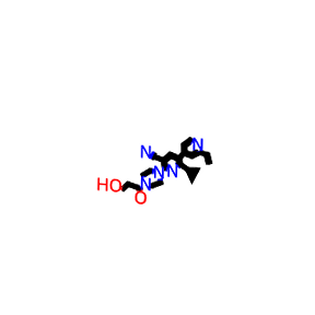 C=Cc1cc(-c2cc(C#N)c(N3CCN(C(=O)CCO)CC3)nc2C2CC2)ccn1